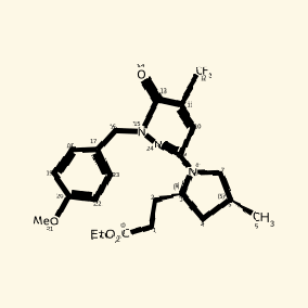 CCOC(=O)CC[C@@H]1C[C@H](C)CN1c1cc(C(F)(F)F)c(=O)n(Cc2ccc(OC)cc2)n1